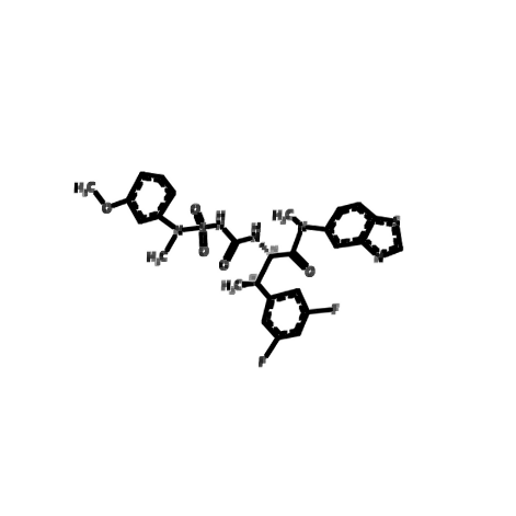 COc1cccc(N(C)S(=O)(=O)NC(=O)N[C@H](C(=O)N(C)c2ccc3scnc3c2)[C@H](C)c2cc(F)cc(F)c2)c1